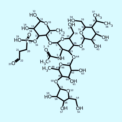 CC(=O)NC1C(OC2C(C)OC(O)C(O)C2OP(=O)(O)CCC=O)OC(CO)C(OC2OC(CO)C(C(C)C)C(O)C2O)C1OC1OC(C)C(OC2OC(CO)C(O)C2O)C(O)C1O